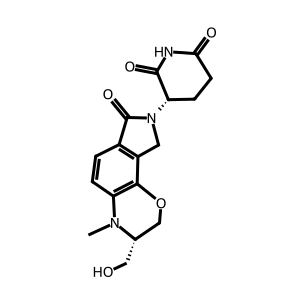 CN1c2ccc3c(c2OC[C@@H]1CO)CN([C@H]1CCC(=O)NC1=O)C3=O